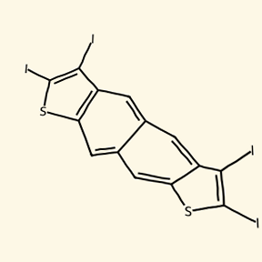 Ic1sc2cc3cc4sc(I)c(I)c4cc3cc2c1I